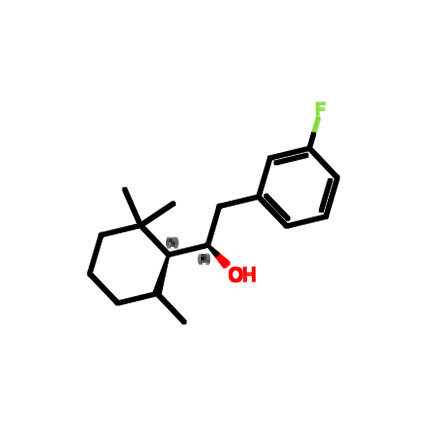 CC1CCCC(C)(C)[C@H]1[C@H](O)Cc1cccc(F)c1